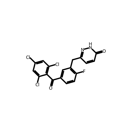 O=C(c1ccc(F)c(Cc2ccc(=O)[nH]n2)c1)c1c(Cl)cc(Cl)cc1Cl